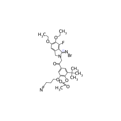 CCOc1cc2c(c(F)c1OCC)/C(=N/Br)N(CC(=O)c1cc(OCCCC#N)c(OS(C)(=O)=O)c(C(C)(C)C)c1)C2